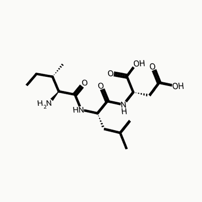 CC[C@H](C)[C@H](N)C(=O)N[C@@H](CC(C)C)C(=O)N[C@@H](CC(=O)O)C(=O)O